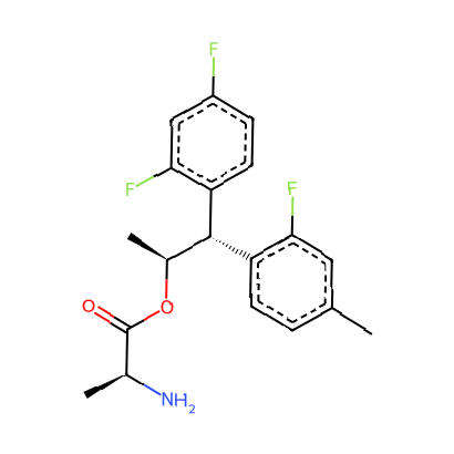 Cc1ccc([C@@H](c2ccc(F)cc2F)[C@H](C)OC(=O)[C@H](C)N)c(F)c1